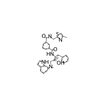 Cc1csc(CN(C)C(=O)c2cccc(C(=O)N[C@@H](Cc3ccccc3)[C@H](O)CN(C)c3cccc4cc[nH]c34)c2)n1